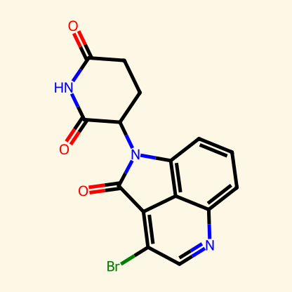 O=C1CCC(N2C(=O)c3c(Br)cnc4cccc2c34)C(=O)N1